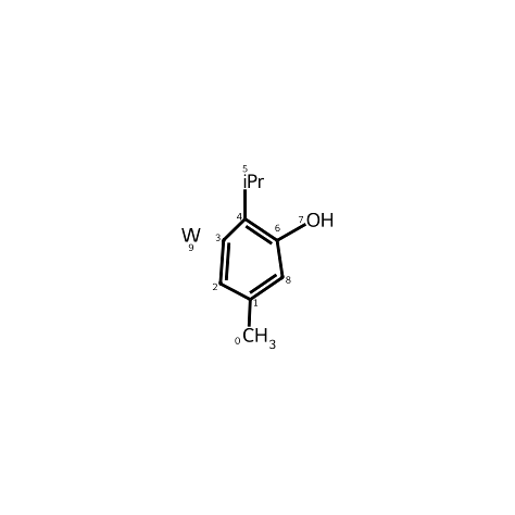 Cc1ccc(C(C)C)c(O)c1.[W]